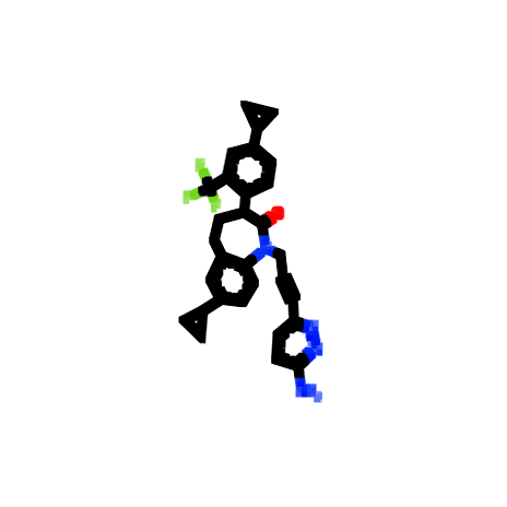 Nc1ccc(C#CCN2C(=O)C(c3ccc(C4CC4)cc3C(F)(F)F)CCc3cc(C4CC4)ccc32)nn1